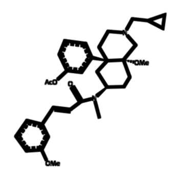 COc1cccc(C=CC(=O)N(C)[C@@H]2CC[C@]3(OC)CN(CC4CC4)CC[C@@]3(c3cccc(OC(C)=O)c3)C2)c1